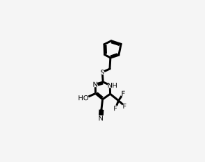 N#CC1=C(O)N=C(SCc2ccccc2)NC1C(F)(F)F